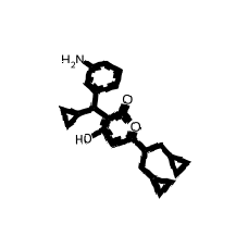 Nc1cccc(C(c2c(O)cc(C(CC3CC3)CC3CC3)oc2=O)C2CC2)c1